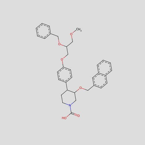 COCC(COc1ccc(C2CCN(C(=O)O)CC2OCc2ccc3ccccc3c2)cc1)OCc1ccccc1